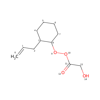 C=CCC1CCCCC1OOC(=O)CO